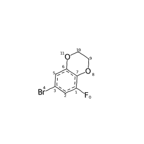 Fc1cc(Br)cc2c1OCCO2